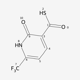 O=C(S)c1ccc(C(F)(F)F)[nH]c1=O